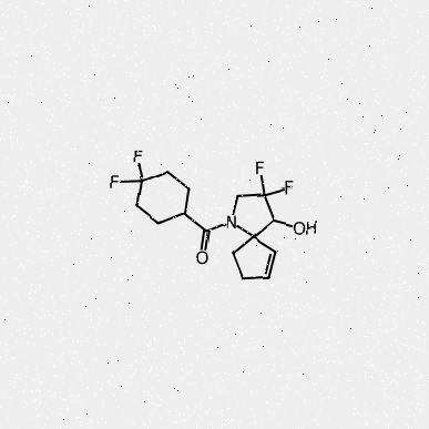 O=C(C1CCC(F)(F)CC1)N1CC(F)(F)C(O)C12C=CCC2